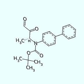 C[C@H](C(=O)C=O)N(C(=O)OC(C)(C)C)c1ccc(-c2ccccc2)cc1